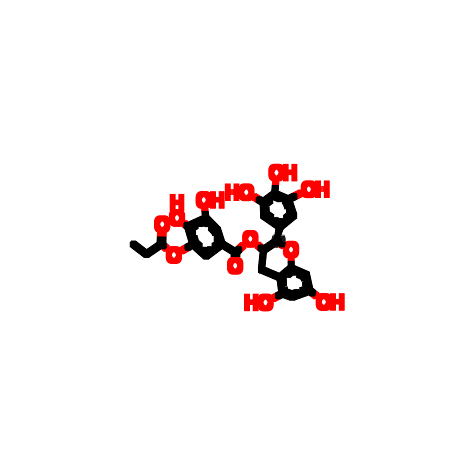 CCC(=O)Oc1cc(C(=O)OC2Cc3c(O)cc(O)cc3O[C@@H]2c2cc(O)c(O)c(O)c2)cc(O)c1O